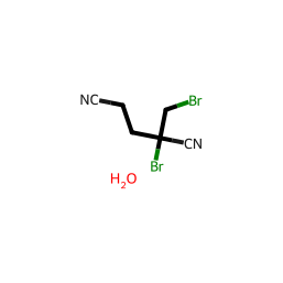 N#CCCC(Br)(C#N)CBr.O